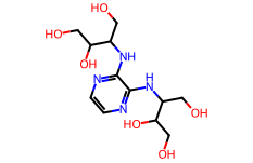 OCC(O)C(CO)Nc1nccnc1NC(CO)C(O)CO